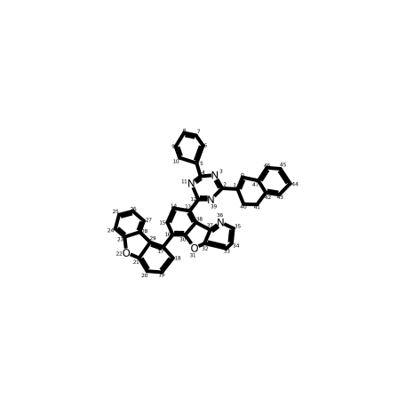 C1=C(c2nc(-c3ccccc3)nc(-c3ccc(-c4cccc5oc6ccccc6c45)c4oc5cccnc5c34)n2)CCc2ccccc21